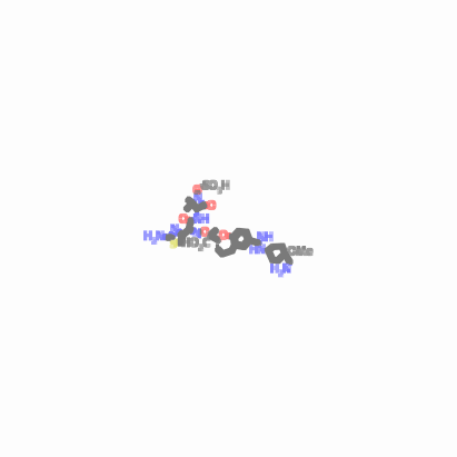 CO[C@]1(CN)CC[C@H](NC(=N)c2ccc3c(c2)CCC[C@H]([C@](C)(O/N=C(\C(=O)N[C@@H]2C(=O)N(OS(=O)(=O)O)C2(C)C)c2csc(N)n2)C(=O)O)O3)CC1